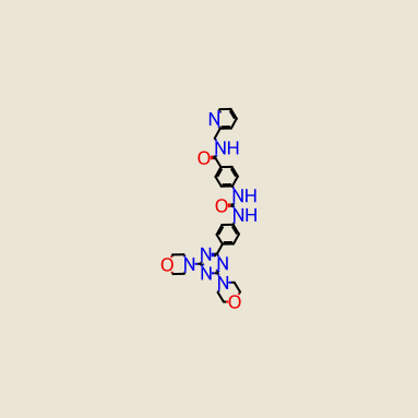 O=C(Nc1ccc(C(=O)NCc2ccccn2)cc1)Nc1ccc(-c2nc(N3CCOCC3)nc(N3CCOCC3)n2)cc1